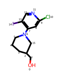 OCC1CCCN(c2cc(Cl)ncc2I)C1